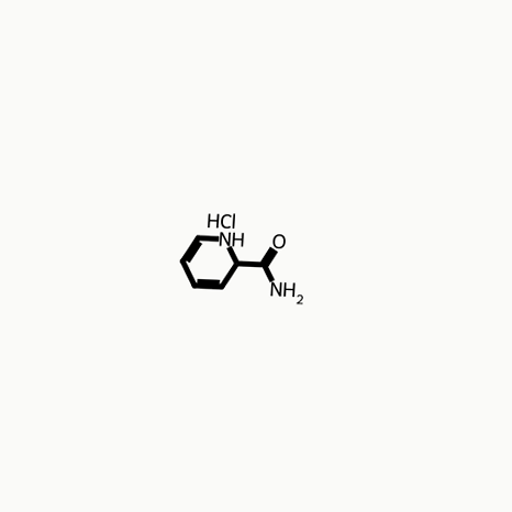 Cl.NC(=O)C1C=CC=CN1